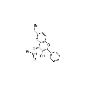 CCNCC.O=c1c(O)c(-c2ccccc2)oc2ccc(CBr)cc12